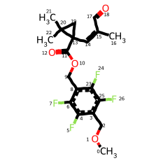 COCc1c(F)c(F)c(COC(=O)C2(C=C(C)C=O)CC2(C)C)c(F)c1F